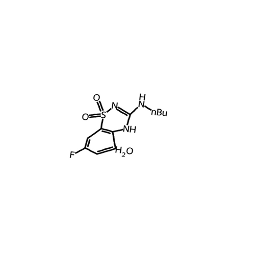 CCCCNC1=NS(=O)(=O)c2cc(F)ccc2N1.O